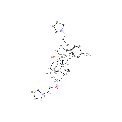 Cc1ccc([C@]2(OCCN3CCCC3)CC[C@]3(O)[C@@H]4CC[C@@H]5C[C@@H](OCCN6CCCC6)CC[C@]5(C)[C@H]4CC[C@]23C)cc1